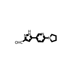 O=Cc1cc(-c2ccc(N3CCCC3)nc2)[nH]n1